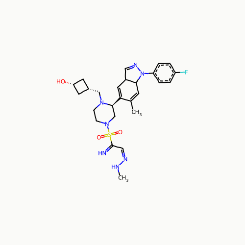 CN/N=C\C(=N)S(=O)(=O)N1CCN(C[C@H]2C[C@@H](O)C2)[C@@H](C2=CC3C=NN(c4ccc(F)cc4)C3C=C2C)C1